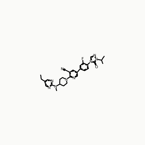 CCc1cnc(N(C)C2CCN(c3ncc(-c4ccc(-n5cnn(C(C)C)c5=O)c(F)c4)cc3C#N)CC2)nc1